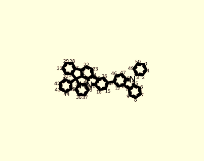 c1ccc(-n2c3ccccc3c3cc(-c4ccc5[nH]c6c7c(ccc6c5c4)-c4ccccc4C7(c4ccccc4)c4ccccc4)ccc32)cc1